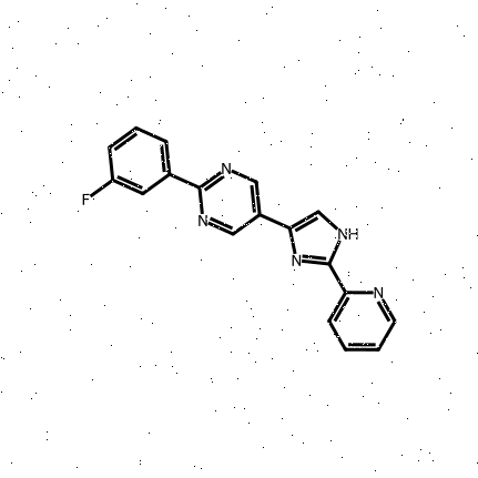 Fc1cccc(-c2ncc(-c3c[nH]c(-c4ccccn4)n3)cn2)c1